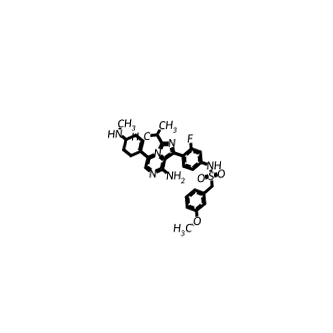 CNC1CC=C(c2cnc(N)c3c(-c4ccc(NS(=O)(=O)Cc5cccc(OC)c5)cc4F)nc(C(C)C)n23)CC1